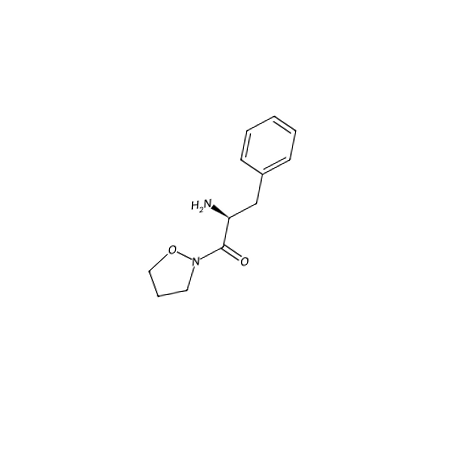 N[C@@H](Cc1ccccc1)C(=O)N1CCCO1